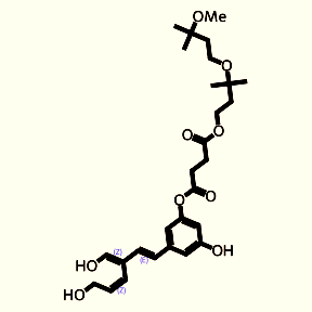 COC(C)(C)CCOC(C)(C)CCOC(=O)CCC(=O)Oc1cc(O)cc(/C=C/C(/C=C\CO)=C/O)c1